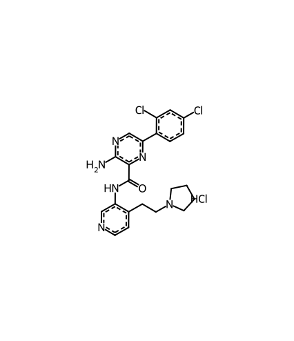 Cl.Nc1ncc(-c2ccc(Cl)cc2Cl)nc1C(=O)Nc1cnccc1CCN1CCCC1